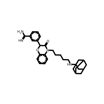 N=C(N)c1cccc(C2Oc3ccccc3N(CCCCCNC34CC5CC(CC(C5)C3)C4)C2=O)c1